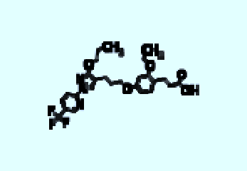 CCCOc1nn(-c2ccc(C(F)(F)F)cn2)cc1CCCOc1ccc(CCC(=O)O)c(OCC)c1